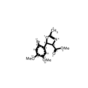 COC(=O)C1N=C(C)OC1c1cc(OC)c(OC)cc1Br